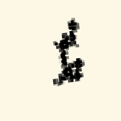 COc1cc(C(=O)N2CCC2CO[Si](C)(C)C(C)(C)C)c(N)cc1OCCCCCOc1cc(OC(N)=O)c(C(=O)N2CCC2CO[Si](C)(C)C(C)(C)C)cc1OC